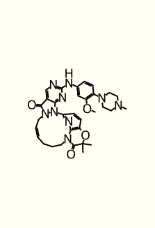 COc1cc(Nc2ncc3c(=O)n4n(c3n2)-c2ccc3c(n2)N(CCC/C=C\C4)C(=O)C(C)(C)O3)ccc1N1CCN(C)CC1